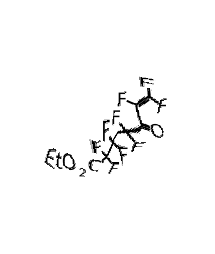 CCOC(=O)C(F)(F)C(F)(F)C(F)(F)C(=O)C(F)=C(F)F